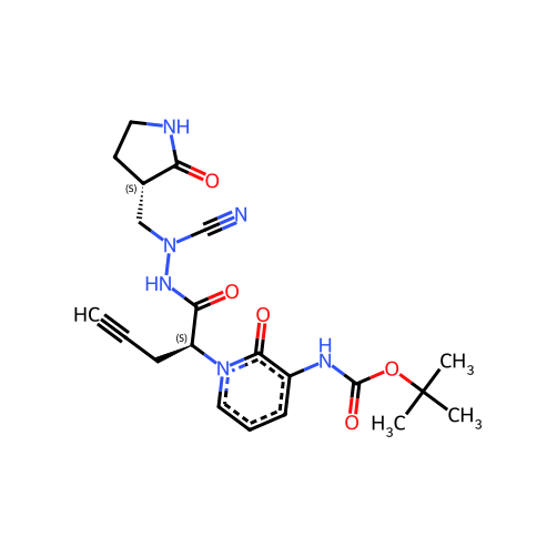 C#CC[C@@H](C(=O)NN(C#N)C[C@@H]1CCNC1=O)n1cccc(NC(=O)OC(C)(C)C)c1=O